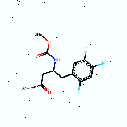 COC(=O)CC(Cc1cc(F)c(F)cc1F)NC(=O)OC(C)(C)C